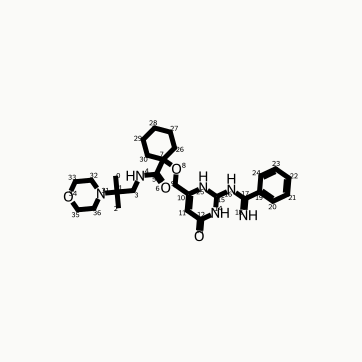 CC(C)(CNC(=O)C1(OCC2=CC(=O)NC(NC(=N)c3ccccc3)N2)CCCCC1)N1CCOCC1